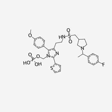 COc1ccc(-c2c(CCNS(=O)(=O)CC3CCN(C(C)c4ccc(F)cc4)C3)nc(-c3cccs3)n2COP(=O)(O)O)cc1